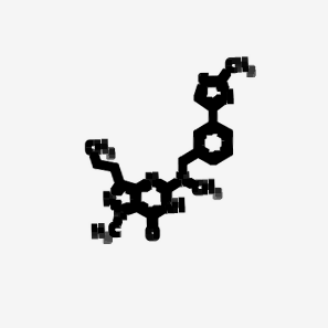 CCCc1nn(C)c2c(=O)[nH]c(N(C)Cc3cccc(-c4csc(C)n4)c3)nc12